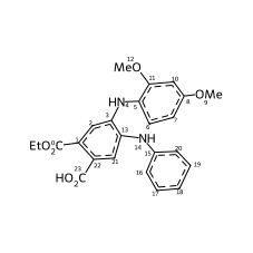 CCOC(=O)c1cc(Nc2ccc(OC)cc2OC)c(Nc2ccccc2)cc1C(=O)O